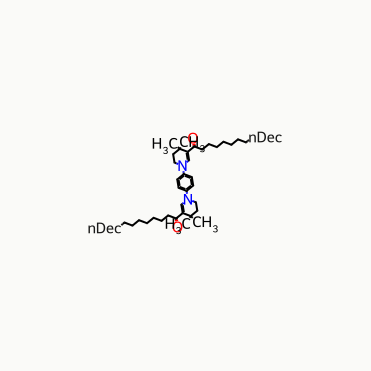 CCCCCCCCCCCCCCCCCC(=O)C1=CN(c2ccc(N3C=C(C(=O)CCCCCCCCCCCCCCCCC)C(C)(C)CC3)cc2)CCC1(C)C